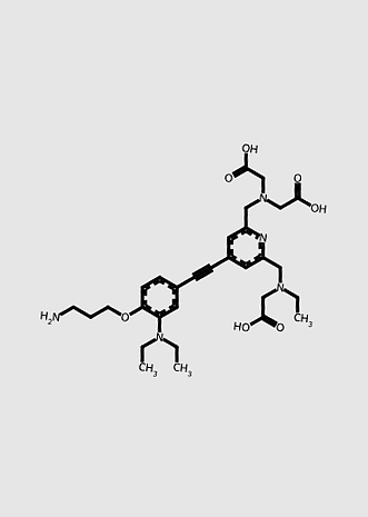 CCN(CC(=O)O)Cc1cc(C#Cc2ccc(OCCCN)c(N(CC)CC)c2)cc(CN(CC(=O)O)CC(=O)O)n1